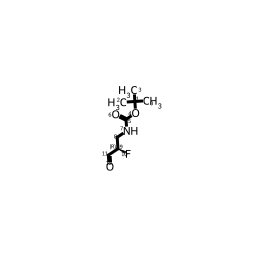 CC(C)(C)OC(=O)NC[C@@H](F)C=O